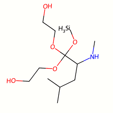 CNC(CC(C)C)C(O[SiH3])(OCCO)OCCO